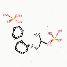 C.CC(C)C.O=P(O)(O)O.O=P(O)(O)O.c1ccccc1.c1ccccc1